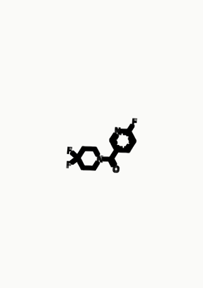 O=C(c1ccc(F)nc1)N1CCC(F)(F)CC1